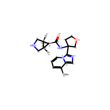 CSc1cccn2c(C3(NC(=O)[C@H]4[C@@H]5CNC[C@@H]54)CCOC3)ncc12